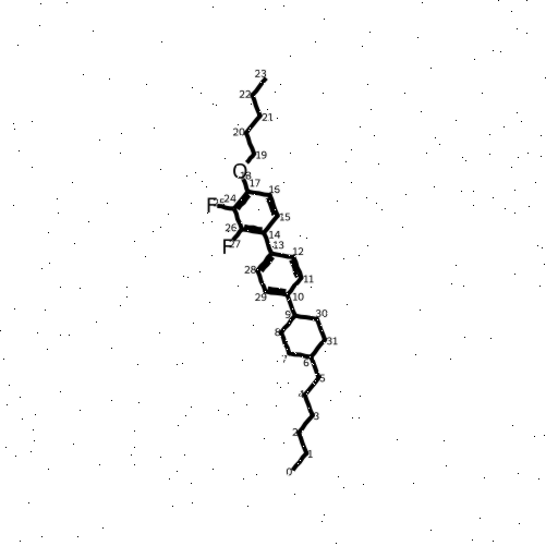 CCCCCCC1CCC(c2ccc(-c3ccc(OCCCCC)c(F)c3F)cc2)CC1